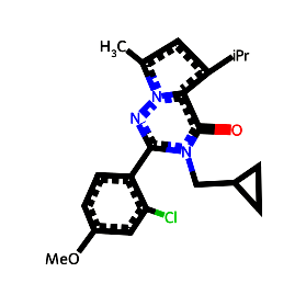 COc1ccc(-c2nn3c(C)cc(C(C)C)c3c(=O)n2CC2CC2)c(Cl)c1